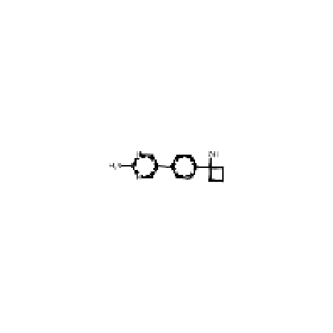 Nc1ncc(-c2ccc(C3(O)CCC3)cc2)cn1